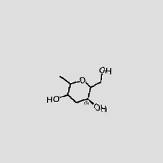 CC1OC(CO)[C@@H](O)CC1O